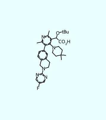 Cc1nc(C)c(C(OC(C)(C)C)C(=O)O)c(N2CCC(C)(C)CC2)c1-c1ccc2c(c1)CCN(c1ncc(F)cn1)C2